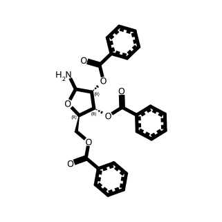 NC1O[C@H](COC(=O)c2ccccc2)[C@@H](OC(=O)c2ccccc2)[C@H]1OC(=O)c1ccccc1